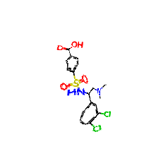 CN(C)CC(NS(=O)(=O)c1ccc(C(=O)O)cc1)c1ccc(Cl)c(Cl)c1